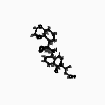 CC(CO)n1ccc2c(NC(=O)c3cccc4c3OCCO4)cccc2c1=O